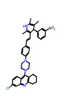 CC1=C(C)C(c2cccc([N+](=O)[O-])c2)C(C=Cc2ccc(N3CCN(c4c5c(nc6cc(Cl)ccc46)CCCC5)CC3)cc2)=C(C)N1